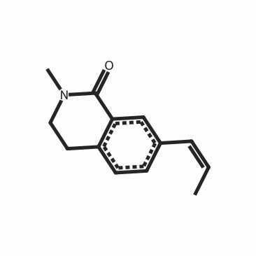 C/C=C\c1ccc2c(c1)C(=O)N(C)CC2